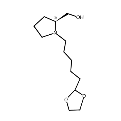 OC[C@@H]1CCCN1CCCCCC1OCCO1